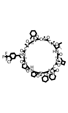 CC[C@H](C)[C@@H]1NC(=O)[C@H](CC2CCC2)N(C)C(=O)C[C@@H](C(=O)N2CCCCC2)N(C)C(=O)[C@H](C2CCCCC2)N(C)C(=O)C2(CCCC2)NC(=O)[C@@H]2CCCN2C(=O)[C@H](CCc2ccc(C(F)(F)F)c(Cl)c2)NC(=O)CN(C)C(=O)[C@H](CC2CCCCC2)N(C)C(=O)CN(C)C(=O)CN(C)C1=O